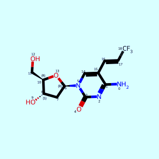 Nc1nc(=O)n([C@H]2C[C@H](O)[C@@H](CO)O2)cc1C=CC(F)(F)F